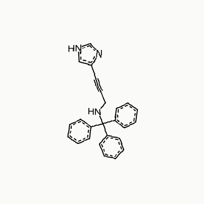 C(#Cc1c[nH]cn1)CNC(c1ccccc1)(c1ccccc1)c1ccccc1